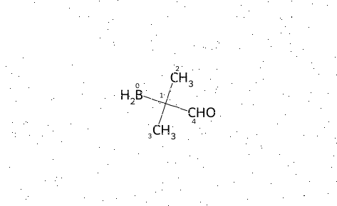 BC(C)(C)C=O